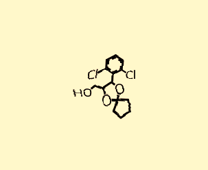 OCC1OC2(CCCC2)OC1c1c(Cl)cccc1Cl